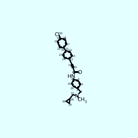 CN(Cc1ccc(NC(=O)C#Cc2ccc(-c3ccc(Cl)cc3)cc2)cc1)CC1CC1